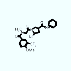 COc1ccc(C(=O)N(C)CC(=O)N2CC(C(=O)Nc3ccccc3)CC2C#N)cc1C(F)(F)F